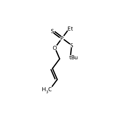 CC=CCOP(=S)(CC)SC(C)(C)C